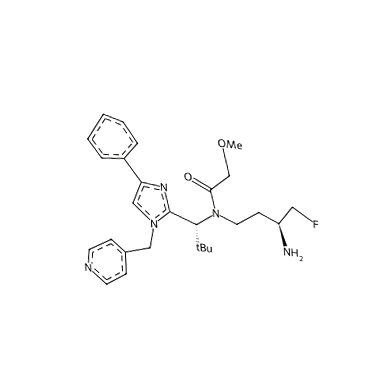 COCC(=O)N(CC[C@H](N)CF)[C@@H](c1nc(-c2ccccc2)cn1Cc1ccncc1)C(C)(C)C